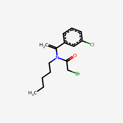 C=C(c1cccc(Cl)c1)N(CCCCC)C(=O)CBr